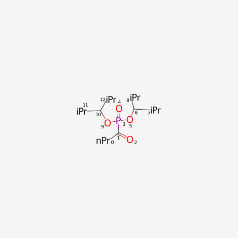 CCCC(=O)P(=O)(OC(C(C)C)C(C)C)OC(C(C)C)C(C)C